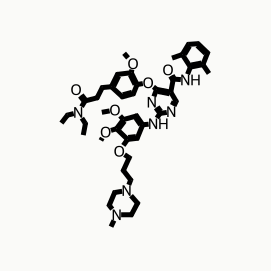 CCN(CC)C(=O)CCc1ccc(Oc2nc(Nc3cc(OC)c(OC)c(OCCCN4CCN(C)CC4)c3)ncc2C(=O)Nc2c(C)cccc2C)c(OC)c1